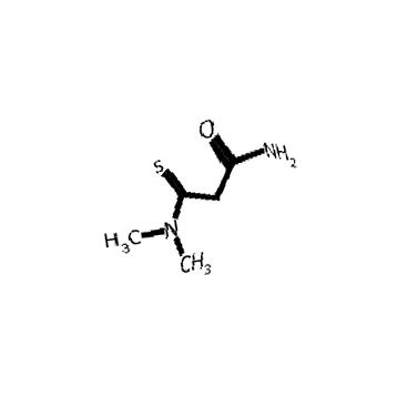 CN(C)C(=S)CC(N)=O